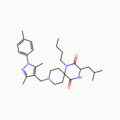 CCCCN1C(=O)C(CC(C)C)NC(=O)C12CCN(Cc1c(C)nn(-c3ccc(C)cc3)c1C)CC2